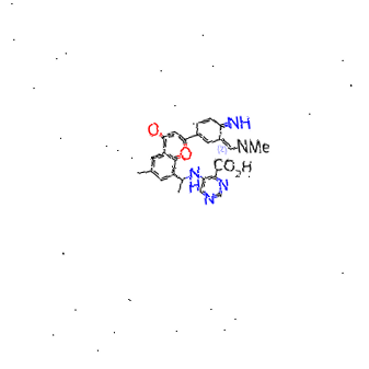 CN/C=C1/C=C(c2cc(=O)c3cc(C)cc(C(C)Nc4cncnc4C(=O)O)c3o2)C=CC1=N